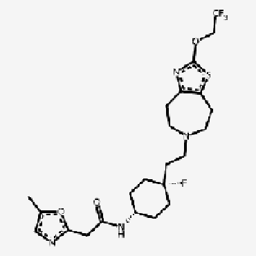 Cc1cnc(CC(=O)N[C@H]2CC[C@](F)(CCN3CCc4nc(OCC(F)(F)F)sc4CC3)CC2)o1